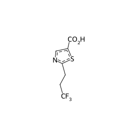 O=C(O)c1cnc(CCC(F)(F)F)s1